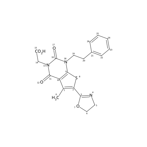 Cc1c(C2=NCCO2)sc2c1c(=O)n(CC(=O)O)c(=O)n2CCc1ccccc1